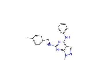 Cc1ccc(CNc2nc(Nc3ccccc3)c3cnn(C)c3n2)cc1